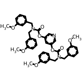 COc1cccc(CN(Cc2cccc(OC)c2)C(=O)Oc2cncc(OC(=O)N(Cc3cccc(OC)c3)Cc3cccc(OC)c3)c2)c1